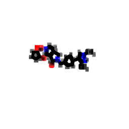 Cc1nn(C)cc1-c1ccc(CN2Cc3ccnc(O[C@H]4CCC[C@@H]4O)c3C2=O)cc1